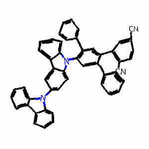 N#Cc1ccc(C#N)c(-c2cc(-c3ccccc3)c(-n3c4ccccc4c4cc(-n5c6ccccc6c6ccccc65)ccc43)cc2-c2ccccc2)c1